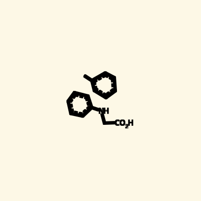 Cc1ccccc1.O=C(O)CNc1ccccc1